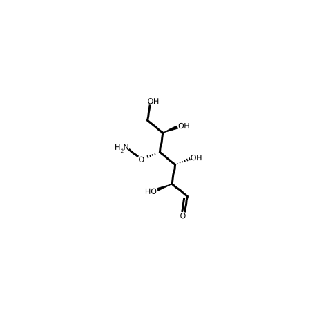 NO[C@@H]([C@H](O)[C@H](O)C=O)[C@H](O)CO